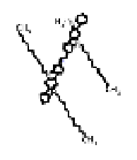 CCCCCCCCCCCCn1c2cc(/C=C/c3ccc4c5cc6c(cc5n(CCCCCCCCCCCC)c4c3)c3ccccc3n6CCCCCCCCCCCC)ccc2c2cc3c(cc21)c1ccccc1n3C